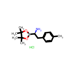 Cc1ccc(C[C@H](N)B2OC(C)(C)C(C)(C)O2)cc1.Cl